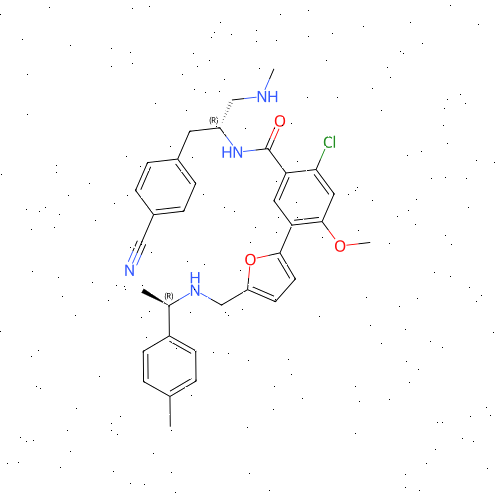 CNC[C@@H](Cc1ccc(C#N)cc1)NC(=O)c1cc(-c2ccc(CN[C@H](C)c3ccc(C)cc3)o2)c(OC)cc1Cl